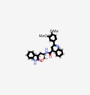 COc1ccc(-c2cc(C(=O)N[C@@H](CO)Cc3c[nH]c4ccccc34)c3ccccc3n2)cc1OC